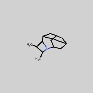 CC1C(C)N2C3CC4CC(CC(C4)C12)C3